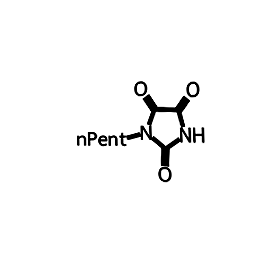 CCCCCN1C(=O)NC(=O)C1=O